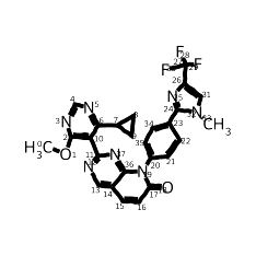 COc1ncnc(C2CC2)c1-c1ncc2ccc(=O)n(-c3ccc(-c4nc(C(F)(F)F)cn4C)cc3)c2n1